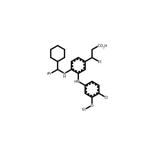 CCOc1cc(Nc2cc(C(CC)CC(=O)O)ccc2NC(C(C)C)C2CCCCC2)ccc1Cl